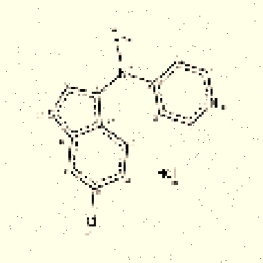 CCCN(c1ccncc1)c1csc2cc(Cl)ccc12.Cl